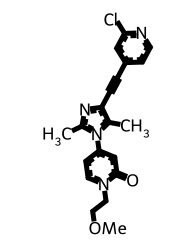 COCCn1ccc(-n2c(C)nc(C#Cc3ccnc(Cl)c3)c2C)cc1=O